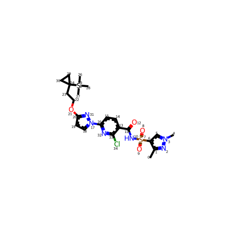 Cc1nn(C)cc1S(=O)(=O)NC(=O)c1ccc(-n2ccc(OCCC3([Si](C)(C)C)CC3)n2)nc1Cl